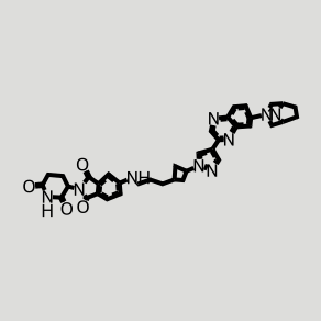 CN1C2CCC1CN(c1ccc3ncc(-c4cnn(C5CC(CCCNc6ccc7c(c6)C(=O)N(C6CCC(=O)NC6=O)C7=O)C5)c4)nc3c1)C2